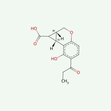 CCC(=O)c1ccc2c(c1O)[C@@H]1C(C(=O)O)[C@@H]1CO2